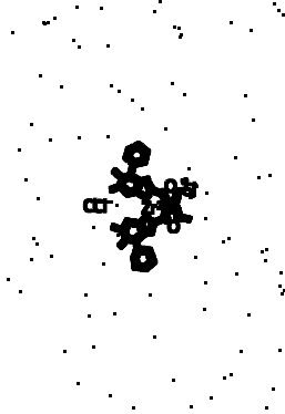 Cc1ccc(C2=Cc3c(cc(C)c(C)c3-c3ccccc3)[CH]2[Zr+2][CH]2C(c3ccc([Si](C)(C)C)o3)=Cc3c2cc(C)c(C)c3-c2ccccc2)o1.[Cl-].[Cl-]